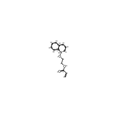 C=CC(=O)OCCO[n+]1cccc2ccccc21